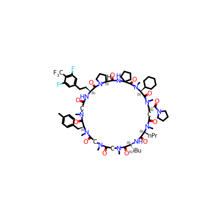 CCC[C@H]1C(=O)N[C@@H]([C@@H](C)CC)C(=O)N(C)CC(=O)N(C)CC(=O)N(C)[C@@H](Cc2ccc(C)cc2)C(=O)N(C)CC(=O)N[C@@H](CCc2cc(F)c(C(F)(F)F)c(F)c2)C(=O)N2CCC[C@H]2C(=O)NC2(CCCC2)C(=O)N(C)[C@@H](C2CCCCC2)C(=O)N(C)[C@H](C(=O)N2CCCC2)CC(=O)N1C